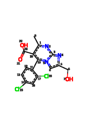 Cc1nc2nc(CO)cn2c(-c2ccc(Cl)cc2Cl)c1C(=O)O